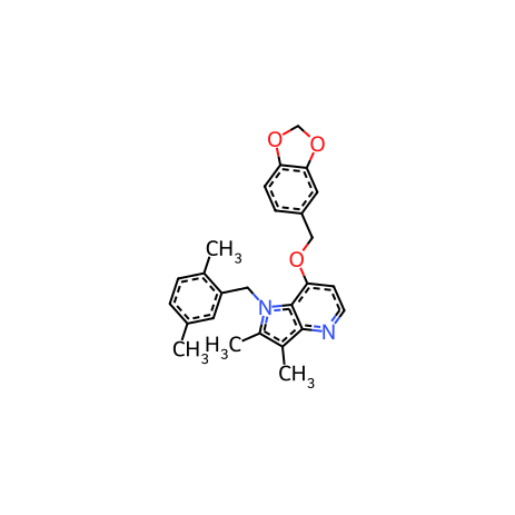 Cc1ccc(C)c(Cn2c(C)c(C)c3nccc(OCc4ccc5c(c4)OCO5)c32)c1